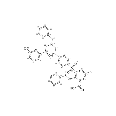 Cc1cc(C(=O)O)c(OCc2ccccc2)c(S(=O)(=O)c2ccc(CCN(Cc3ccccc3)C[C@@H](O)c3cccc(Cl)c3)cc2)c1